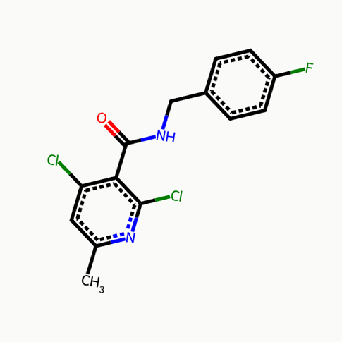 Cc1cc(Cl)c(C(=O)NCc2ccc(F)cc2)c(Cl)n1